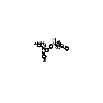 COc1ccc(Sc2ccc(-c3ccc(NC(=O)[C@@H]4CCCN4C(=O)OCc4ccccc4)cc3)cc2Nc2ncnc3nc(C(C)C)ccc23)cc1